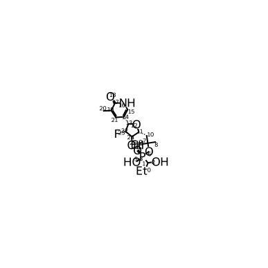 CCC(O)P(=O)(O)OC(C)(CC)C[C@H]1O[C@@H](c2c[nH]c(=O)c(C)c2)[C@@H](F)C1O